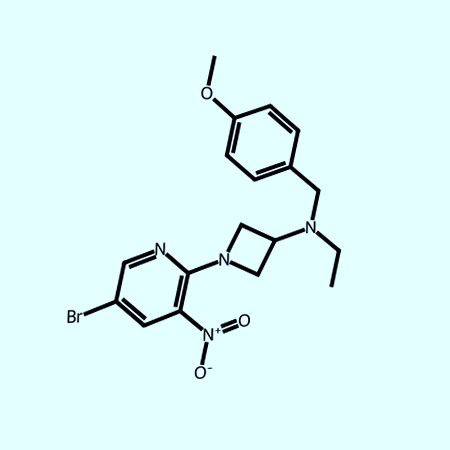 CCN(Cc1ccc(OC)cc1)C1CN(c2ncc(Br)cc2[N+](=O)[O-])C1